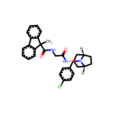 CC1(C(=O)NCC(=O)N[C@H]2C[C@H]3CC[C@@H](C2)N3Cc2ccc(Cl)cc2)c2ccccc2-c2ccccc21